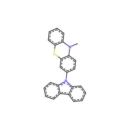 CN1c2ccccc2Sc2cc(-n3c4ccccc4c4ccccc43)ccc21